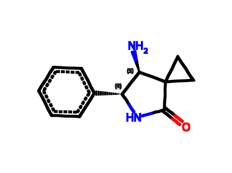 N[C@@H]1[C@@H](c2ccccc2)NC(=O)C12CC2